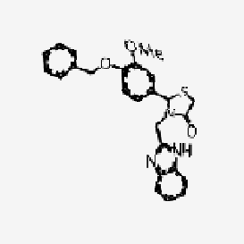 COc1cc(C2SCC(=O)N2Cc2nc3ccccc3[nH]2)ccc1OCc1ccccc1